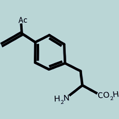 C=C(C(C)=O)c1ccc(CC(N)C(=O)O)cc1